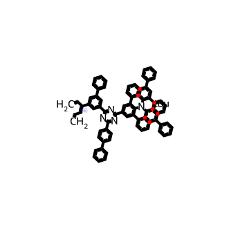 C=C/C=C(\C=C)c1cc(-c2ccccc2)cc(-c2nc(-c3ccc(-c4ccccc4)cc3)nc(-c3cc(-c4ccccc4)c(N(c4ccc(-c5ccccc5)cc4-c4ccccc4)c4ccc(-c5ccccc5)cc4C(C)(C)C)c(-c4ccccc4)c3)n2)c1